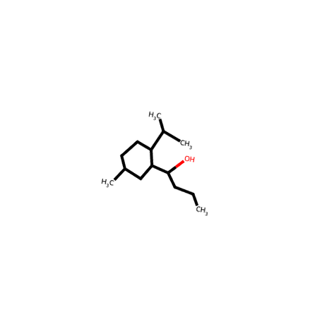 CCCC(O)C1CC(C)CCC1C(C)C